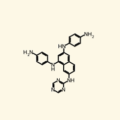 Nc1ccc(Nc2cc(Nc3ccc(N)cc3)c3cc(Nc4ncncn4)ccc3c2)cc1